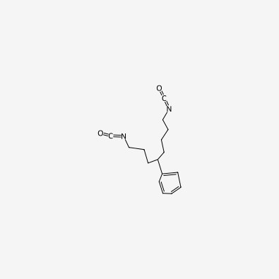 O=C=NCCCCC(CCCN=C=O)c1ccccc1